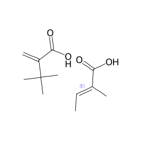 C/C=C(\C)C(=O)O.C=C(C(=O)O)C(C)(C)C